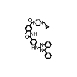 Cc1ccc(C(=O)N2CCN(CC3CC3)CC2)cc1NC(=O)c1ccc(Nc2nc(-c3ccccc3)c3ccccc3n2)cc1